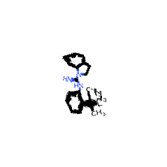 CC(C)(C)c1ccccc1NC(=N)N1CCc2ccccc21